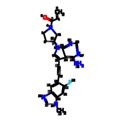 C=CC(=O)N1CC[C@H](n2cc(C#Cc3cc4ncn(C)c4cc3F)c3c(N)ncnc32)C1